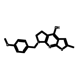 COc1ccc(CN2CCc3c2nc2sc(C)cc2c3O)cc1